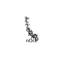 CCCCCCCCOc1cnc(-c2ccc(OCCCCCCC3CC3)cn2)cn1